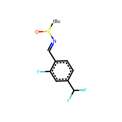 CC(C)(C)[S+]([O-])N=Cc1ccc(C(F)F)cc1F